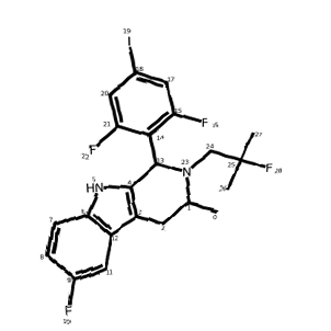 CC1Cc2c([nH]c3ccc(F)cc23)C(c2c(F)cc(I)cc2F)N1CC(C)(C)F